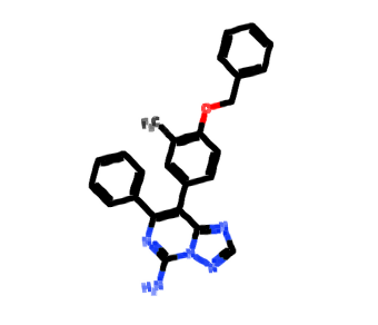 Nc1nc(-c2ccccc2)c(-c2ccc(OCc3ccccc3)c(C(F)(F)F)c2)c2ncnn12